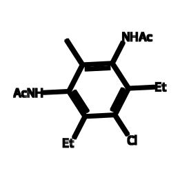 CCc1c(Cl)c(CC)c(NC(C)=O)c(C)c1NC(C)=O